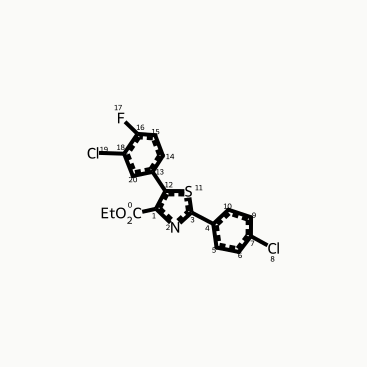 CCOC(=O)c1nc(-c2ccc(Cl)cc2)sc1-c1ccc(F)c(Cl)c1